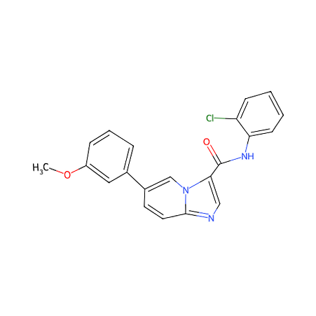 COc1cccc(-c2ccc3ncc(C(=O)Nc4ccccc4Cl)n3c2)c1